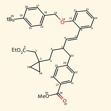 CCOC(=O)CC1(CCC(C=Cc2ccccc2OCc2ccc(C(C)(C)C)cc2)Cc2ccc(C(=O)OC)cc2)CC1